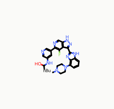 CCCCC(O)Nc1cncc(-c2ncc3[nH]nc(-c4nc5c(N6CCN(C)CC6)cccc5[nH]4)c3c2F)c1